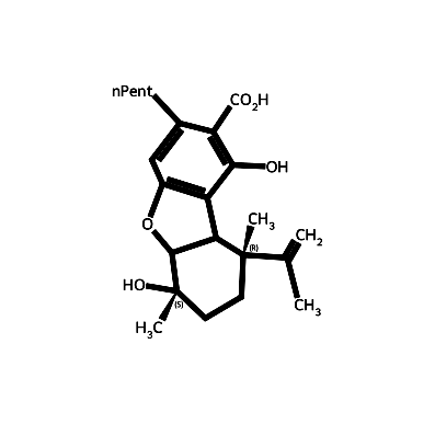 C=C(C)[C@]1(C)CC[C@](C)(O)C2Oc3cc(CCCCC)c(C(=O)O)c(O)c3C21